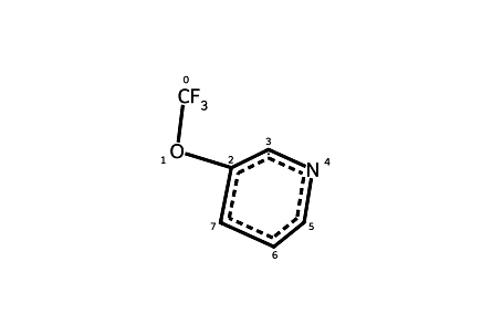 FC(F)(F)Oc1[c]nccc1